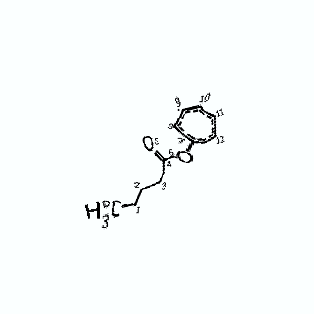 CCCCC(=O)Oc1c[c]ccc1